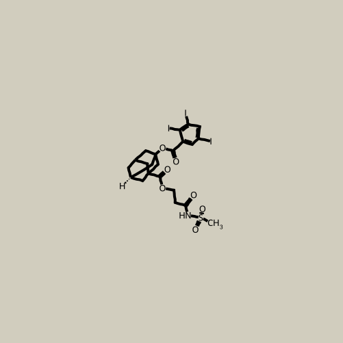 CS(=O)(=O)NC(=O)CCOC(=O)C12CC3C[C@@H](CC(OC(=O)c4cc(I)cc(I)c4I)(C3)C1)C2